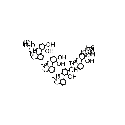 CN1CCc2cccc3c2[C@H]1Cc1ccc(O)c(O)c1-3.CN1CCc2cccc3c2[C@H]1Cc1ccc(O)c(O)c1-3.CN1CCc2cccc3c2[C@H]1Cc1ccc(O)c(O)c1-3.CN1CCc2cccc3c2[C@H]1Cc1ccc(O)c(O)c1-3.Cl.Cl.Cl.Cl.O.O.O